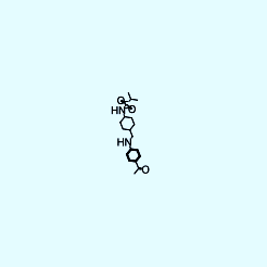 CC(=O)c1ccc(NCC2CCC(NS(=O)(=O)C(C)C)CC2)cc1